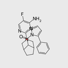 Nc1nc(N2CC3CCC(C2)C3C(=O)n2nccc2-c2ccccc2)ncc1F